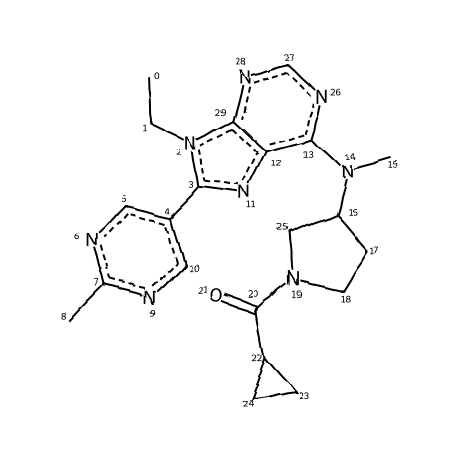 CCn1c(-c2cnc(C)nc2)nc2c(N(C)C3CCN(C(=O)C4CC4)C3)ncnc21